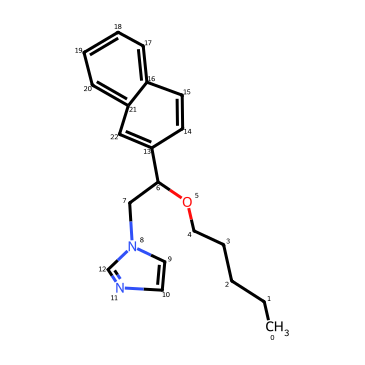 CCCCCOC(Cn1ccnc1)c1ccc2ccccc2c1